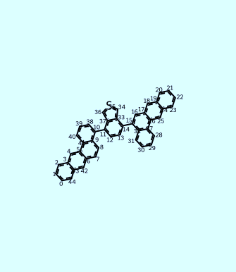 c1ccc2cc3c(ccc4c(-c5ccc(-c6cc7cc8ccccc8cc7c7ccccc67)c6cscc56)cccc43)cc2c1